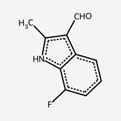 Cc1[nH]c2c(F)cccc2c1C=O